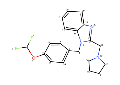 FC(F)Oc1ccc(Cn2c(CN3CCCC3)nc3ccccc32)cc1